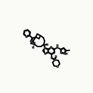 Cc1cc(Nc2cc(N=S3(=O)CCOCC3)c3ncn([C@H]4CCC5CC(C(=O)c6ccccn6)(C5)C5C[C@@H]5CC4)c3n2)n[nH]1